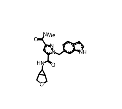 CNC(=O)c1cc(C(=O)NC2C3COCC32)n(Cc2ccc3cc[nH]c3c2)n1